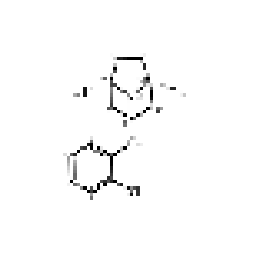 Clc1ccccc1O[C@@H]1C[C@H]2CC[C@@H](C1)N2